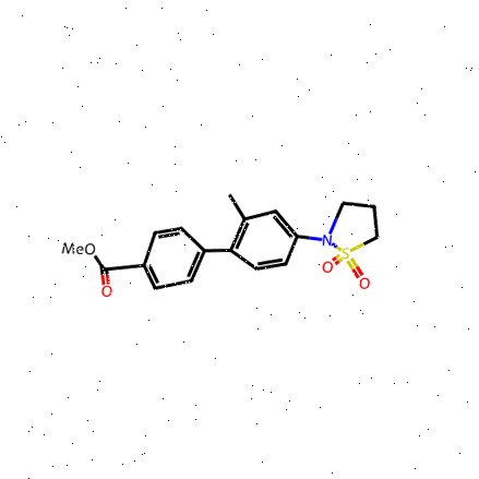 COC(=O)c1ccc(-c2ccc(N3CCCS3(=O)=O)cc2C)cc1